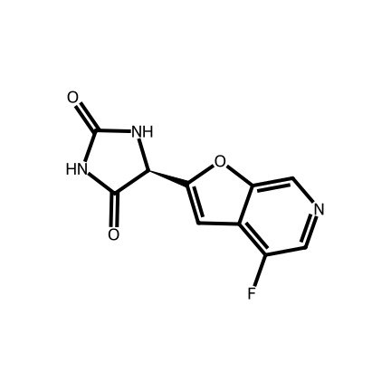 O=C1NC(=O)[C@H](c2cc3c(F)cncc3o2)N1